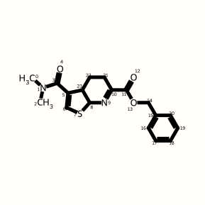 CN(C)C(=O)C1=[C]SC2N=C(C(=O)OCc3ccccc3)CCC12